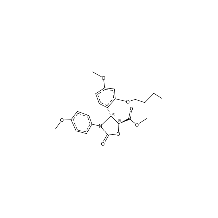 CCCCOc1cc(OC)ccc1[C@@H]1[C@@H](C(=O)OC)OC(=O)N1c1ccc(OC)cc1